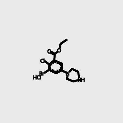 CCOC(=O)c1cc(N2CCNCC2)cc(Br)c1Cl.Cl